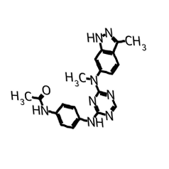 CC(=O)Nc1ccc(Nc2ncnc(N(C)c3ccc4c(C)n[nH]c4c3)n2)cc1